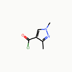 Cc1nn(C)cc1C(=O)Cl